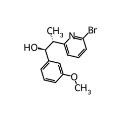 COc1cccc([C@@H](O)[C@H](C)c2cccc(Br)n2)c1